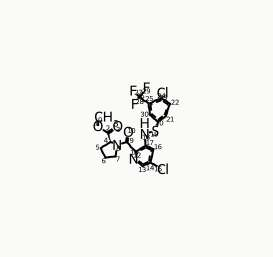 COC(=O)[C@@H]1CCCN1C(=O)c1ncc(Cl)cc1NSc1ccc(Cl)c(C(F)(F)F)c1